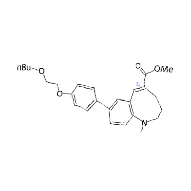 CCCCOCCOc1ccc(-c2ccc3c(c2)/C=C(/C(=O)OC)CCCN3C)cc1